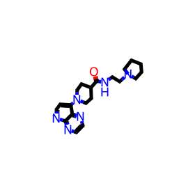 O=C(NCCN1CCCCC1)C1CCN(c2ccnc3nccnc23)CC1